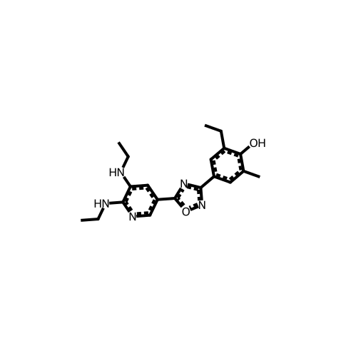 CCNc1cc(-c2nc(-c3cc(C)c(O)c(CC)c3)no2)cnc1NCC